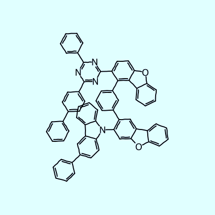 c1ccc(-c2ccc(-c3nc(-c4ccccc4)nc(-c4ccc5oc6ccccc6c5c4-c4cccc(-c5cc6c(cc5-n5c7ccccc7c7cc(-c8ccccc8)ccc75)oc5ccccc56)c4)n3)cc2)cc1